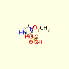 CCON1CCNCC1.O=S(=O)(O)O